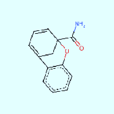 NC(=O)C12C=CC=C(C1)c1ccccc1O2